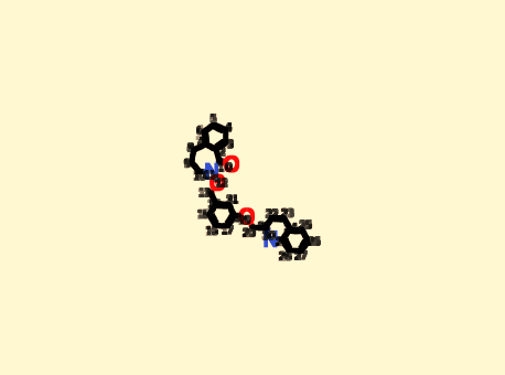 O=C1c2ccccc2CCCN1OCc1cccc(OCc2ccc3ccccc3n2)c1